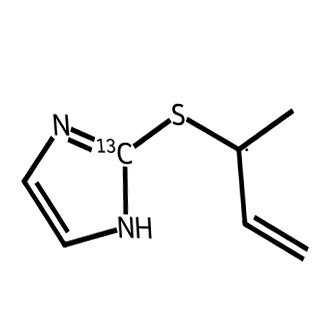 C=C[C](C)S[13c]1ncc[nH]1